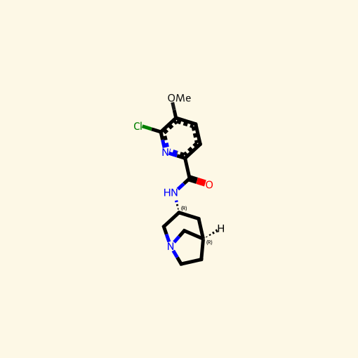 COc1ccc(C(=O)N[C@@H]2C[C@H]3CCN(C3)C2)nc1Cl